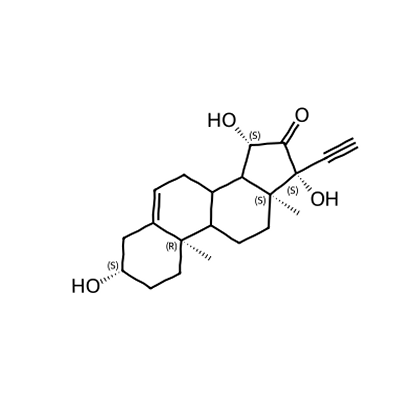 C#C[C@]1(O)C(=O)[C@@H](O)C2C3CC=C4C[C@@H](O)CC[C@]4(C)C3CC[C@@]21C